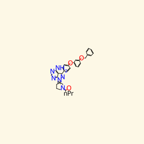 CCCC(=O)N1CCC[C@@H](n2nc(-c3ccc(Oc4cccc(OCc5ccccc5)c4)cc3)c3c(N)ncnc32)C1